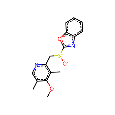 COc1c(C)cnc(C[S+]([O-])c2nc3ccccc3o2)c1C